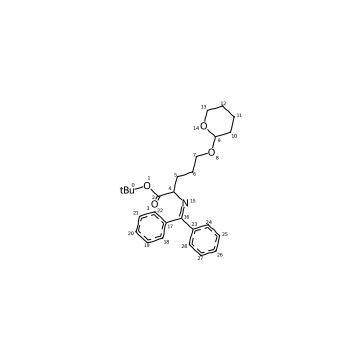 CC(C)(C)OC(=O)C(CCCOC1CCCCO1)N=C(c1ccccc1)c1ccccc1